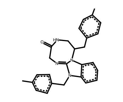 Cc1ccc(CC2CNC(=O)C/N=C3/N(Cc4ccc(C)cc4)c4ccccc4N32)cc1